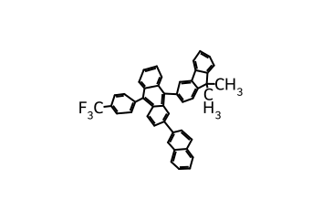 CC1(C)c2ccccc2-c2cc(-c3c4ccccc4c(-c4ccc(C(F)(F)F)cc4)c4ccc(-c5ccc6ccccc6c5)cc34)ccc21